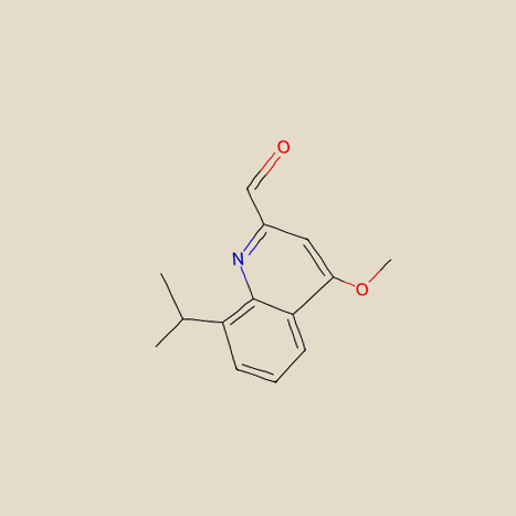 COc1cc(C=O)nc2c(C(C)C)cccc12